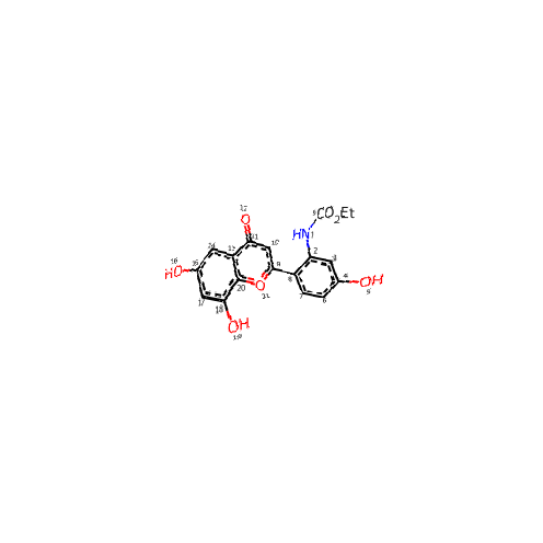 CCOC(=O)Nc1cc(O)ccc1-c1cc(=O)c2cc(O)cc(O)c2o1